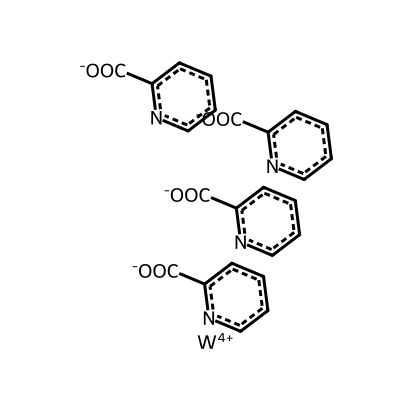 O=C([O-])c1ccccn1.O=C([O-])c1ccccn1.O=C([O-])c1ccccn1.O=C([O-])c1ccccn1.[W+4]